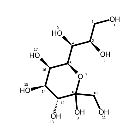 OC[C@@H](O)[C@H](O)[C@H]1OC(O)(CO)[C@H](O)[C@@H](O)[C@H]1O